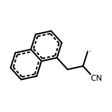 [CH2]C(C#N)Cc1cccc2ccccc12